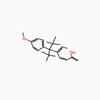 C=C(O)/C=C\C(=C/C)C(c1ccc(OC)cc1)(C(C)(C)C)C(C)(C)C